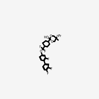 CCCC1(C)COC(O)(C2CCC(C(F)(F)Oc3ccc(-c4ccc(F)c(F)c4)c(F)c3)CC2)OC1